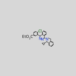 CCOC(=O)c1ccc(Cl)c(-c2nnc(N3CCc4ccccc4C3C3CC3)c3ccccc23)c1